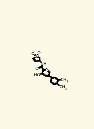 Cc1ccc(-c2cnc(C(=O)NC3C=CS(=O)(=O)C3)c(O)c2)cc1C